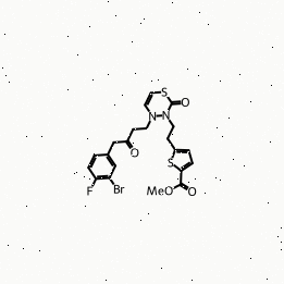 COC(=O)c1ccc(CCN2C(=O)SC=CN2CCC(=O)Cc2ccc(F)c(Br)c2)s1